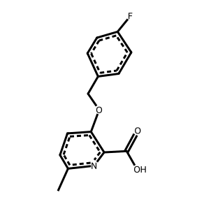 Cc1ccc(OCc2ccc(F)cc2)c(C(=O)O)n1